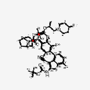 CC(CN1CCC(F)CC1)Oc1nc(N2CC3CCC(C2)N3C(=O)OC(C)(C)C)c2cc(Cl)c(-c3ccc(F)c4sc(NC(=O)OC(C)(C)C)c(C#N)c34)c(F)c2n1